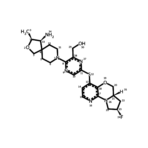 C[C@@H]1OCC2(CCN(c3ncc(Sc4ccnc5c4OC[C@@H]4C[C@@H](F)CN54)nc3CO)CC2)[C@@H]1N